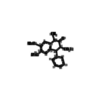 CCOC(=O)C1C(=O)N(C)c2cc(OC)c(OC)cc2C1c1ccccc1